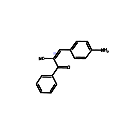 N#C/C(=C/c1ccc(N)cc1)C(=O)c1ccccc1